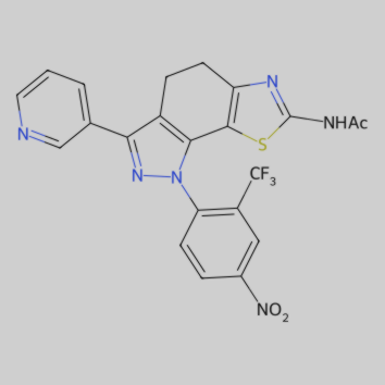 CC(=O)Nc1nc2c(s1)-c1c(c(-c3cccnc3)nn1-c1ccc([N+](=O)[O-])cc1C(F)(F)F)CC2